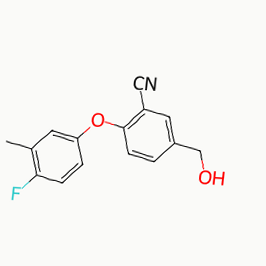 Cc1cc(Oc2ccc(CO)cc2C#N)ccc1F